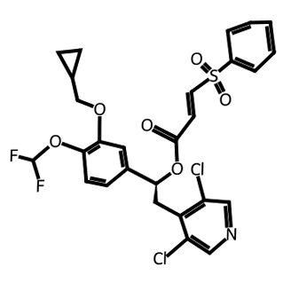 O=C(/C=C/S(=O)(=O)c1ccccc1)O[C@@H](Cc1c(Cl)cncc1Cl)c1ccc(OC(F)F)c(OCC2CC2)c1